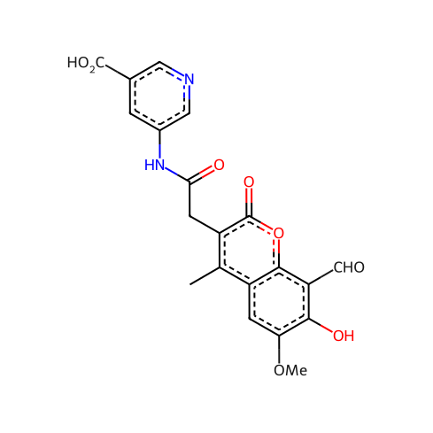 COc1cc2c(C)c(CC(=O)Nc3cncc(C(=O)O)c3)c(=O)oc2c(C=O)c1O